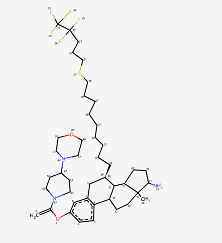 C=C(Oc1ccc2c(c1)C[C@@H](CCCCCCCCCSCCCC(F)(F)C(F)(F)F)C1C2CCC2(C)C(N)CCC12)N1CCC(N2CCOCC2)CC1